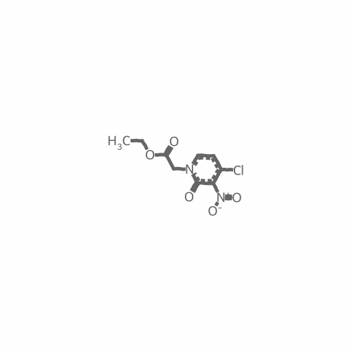 CCOC(=O)Cn1ccc(Cl)c([N+](=O)[O-])c1=O